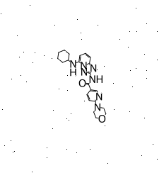 O=C(Nc1nc2cccc(NC3CCCCC3)n2n1)c1ccc(N2CCOCC2)nc1